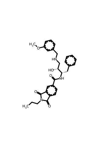 CCCN1C(=O)c2ccc(C(=O)N[C@@H](Cc3ccccc3)[C@H](O)CNCc3cccc(OC)c3)cc2C1=O